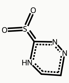 O=S(=O)=c1nncc[nH]1